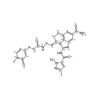 CCn1nc(C)cc1C(=O)Nc1nc2cc(C(N)=O)cc3c2n1[C@@H](CCNC(=O)OCc1ccn(C)c(=O)c1)CO3